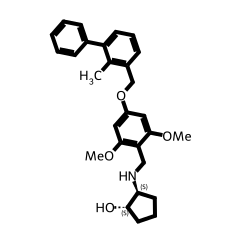 COc1cc(OCc2cccc(-c3ccccc3)c2C)cc(OC)c1CN[C@H]1CCC[C@@H]1O